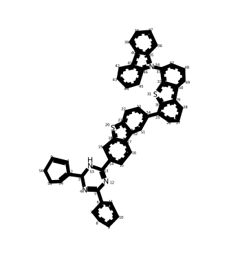 C1=CC(C2N=C(c3ccccc3)N=C(c3ccc4c(c3)sc3ccc(-c5cccc6c5sc5c(-n7c8ccccc8c8ccccc87)cccc56)cc34)N2)=CCC1